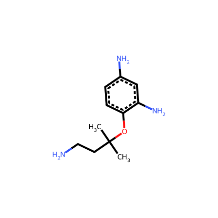 CC(C)(CCN)Oc1ccc(N)cc1N